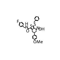 COc1ccc(C2C/C(=N\O)c3c(SCc4ccccc4)sc(C(=O)NCc4ccc(F)cc4)c3C2)cc1